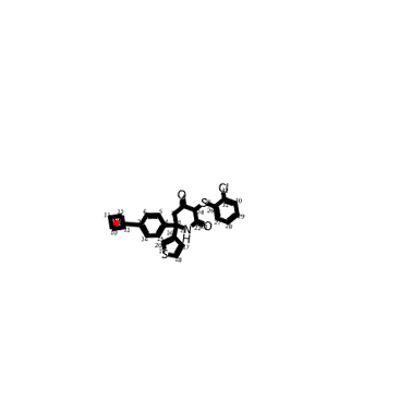 O=C1CC(c2ccc(N3CC4CC3C4)cc2)(c2ccsc2)NC(=O)C1Sc1ccccc1Cl